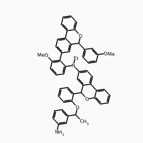 CCN(c1ccc2c(c1)C(c1ccccc1OC(C)c1cccc(N)c1)Oc1ccccc1-2)c1cccc(OC)c1-c1ccc2c(c1)C(c1cccc(OC)c1)Oc1ccccc1-2